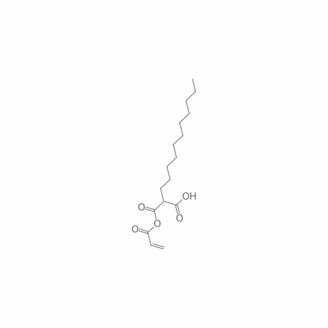 C=CC(=O)OC(=O)C(CCCCCCCCCCC)C(=O)O